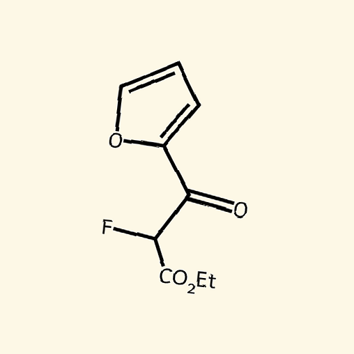 CCOC(=O)C(F)C(=O)c1ccco1